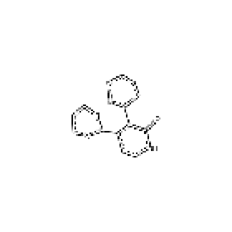 O=c1[nH]ccc(-c2ncccn2)c1-c1ccccn1